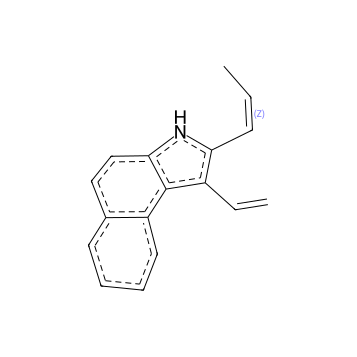 C=Cc1c(/C=C\C)[nH]c2ccc3ccccc3c12